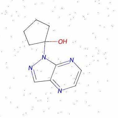 OC1(n2ncc3nccnc32)CCCC1